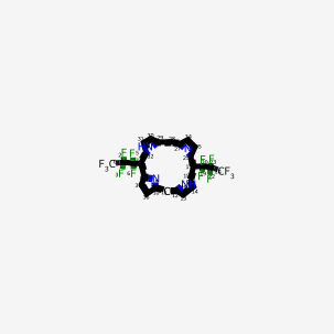 FC(F)(F)C(F)(F)C(F)(F)c1c2nc(cc3ccc([nH]3)c(C(F)(F)C(F)(F)C(F)(F)F)c3nc(cc4ccc1[nH]4)C=C3)C=C2